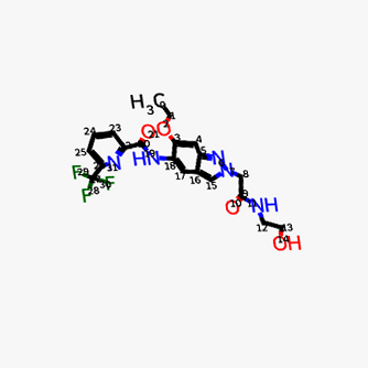 CCOc1cc2nn(CC(=O)NCCO)cc2cc1NC(=O)c1cccc(C(F)(F)F)n1